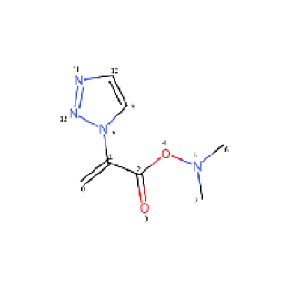 C=C(C(=O)ON(C)C)n1ccnn1